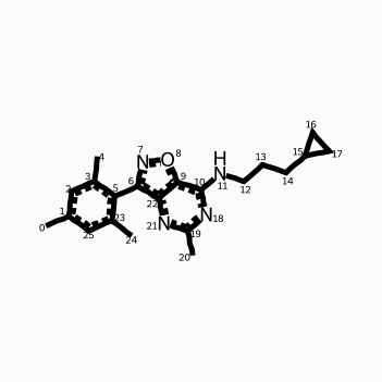 Cc1cc(C)c(-c2noc3c(NCCCC4CC4)nc(C)nc23)c(C)c1